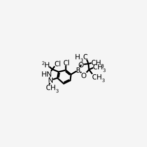 [2H]C1(Cl)NN(C)c2ccc(B3OC(C)(C)C(C)(C)O3)c(Cl)c21